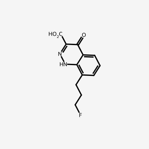 O=C(O)c1n[nH]c2c(CCCF)cccc2c1=O